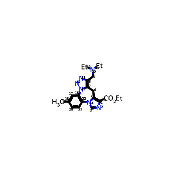 CCOC(=O)c1ncn2c1Cc1c(CN(CC)CC)nnn1-c1cc(C)ccc1-2